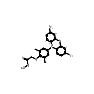 Cc1cc([SH]2c3ccc(C(F)(F)F)cc3Oc3cc(C(F)(F)F)ccc32)cc(C)c1OCC(=O)OC(C)(C)C